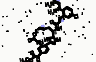 COC(=O)Nc1ccc2c(c1)NC(=O)OC/C=C/C[C@H](NC(=O)/C=C/c1cc(Cl)ccc1N(N)/C=N\N)C1NC=C2N1